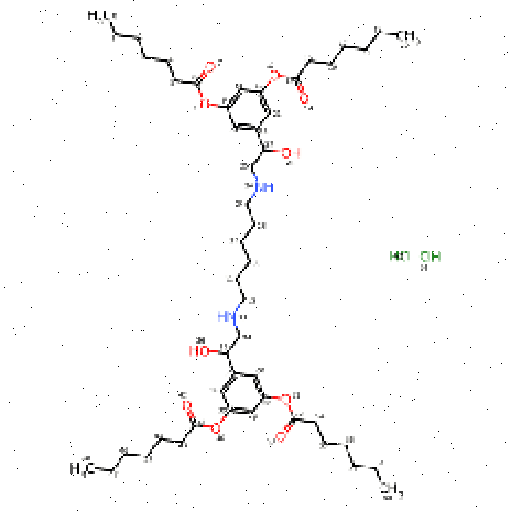 CCCCCCC(=O)Oc1cc(OC(=O)CCCCCC)cc(C(O)CNCCCCCCNCC(O)c2cc(OC(=O)CCCCCC)cc(OC(=O)CCCCCC)c2)c1.Cl.Cl